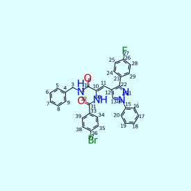 O=C(NCc1ccccc1)/C(=C/c1cn(-c2ccccc2)nc1-c1ccc(F)cc1)NC(=O)c1ccc(Br)cc1